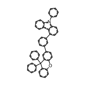 c1ccc(-n2c3ccccc3c3c(-c4cccc(-c5ccc6c(c5)C(c5ccccc5)(c5ccccc5)c5ccccc5O6)c4)cccc32)cc1